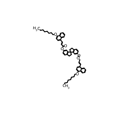 CCCCCCCCOc1ccc(/C=C/COOc2ccc3c(c2)C2(CC3)CCc3ccc(OC(=O)/C=C/c4ccc(OCCCCCCCC)c5ccccc45)cc32)c2ccccc12